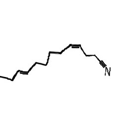 CCC=CCCCC/C=C\CCC#N